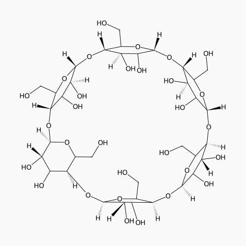 OCC1O[C@@H]2O[C@@H]3C(CO)O[C@H](O[C@@H]4C(CO)O[C@H](O[C@@H]5C(CO)O[C@H](O[C@@H]6C(CO)O[C@H](O[C@@H]7C(CO)O[C@H](O[C@H]1C(O)[C@@H]2O)C(O)[C@H]7O)C(O)[C@H]6O)C(O)[C@H]5O)[C@@H](O)C4O)[C@@H](O)C3O